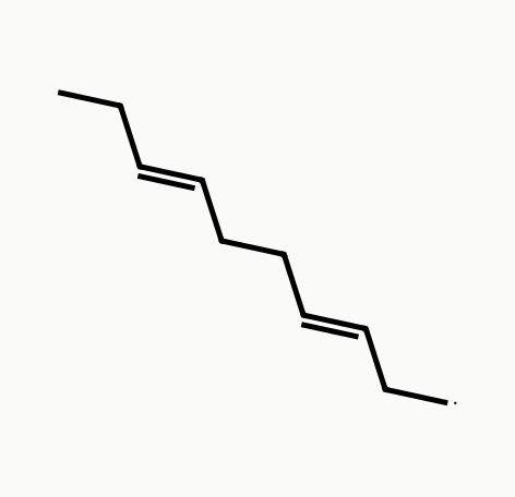 [CH2]CC=CCCC=CCC